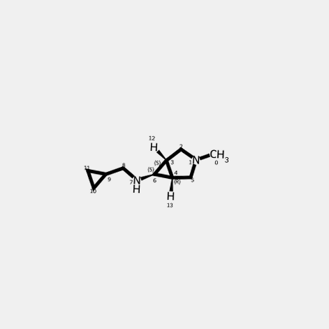 CN1C[C@@H]2[C@H](C1)[C@H]2NCC1CC1